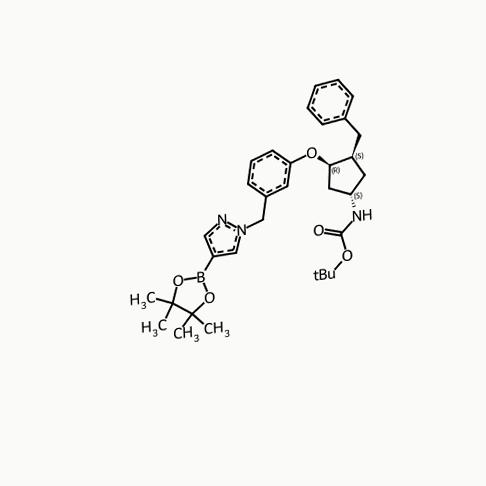 CC(C)(C)OC(=O)N[C@H]1C[C@H](Cc2ccccc2)[C@H](Oc2cccc(Cn3cc(B4OC(C)(C)C(C)(C)O4)cn3)c2)C1